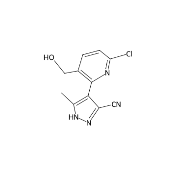 Cc1[nH]nc(C#N)c1-c1nc(Cl)ccc1CO